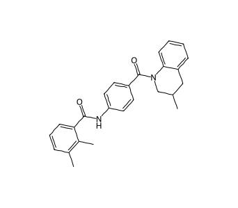 Cc1cccc(C(=O)Nc2ccc(C(=O)N3CC(C)Cc4ccccc43)cc2)c1C